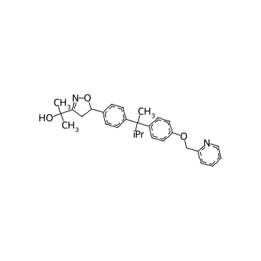 CC(C)C(C)(c1ccc(OCc2ccccn2)cc1)c1ccc(C2CC(C(C)(C)O)=NO2)cc1